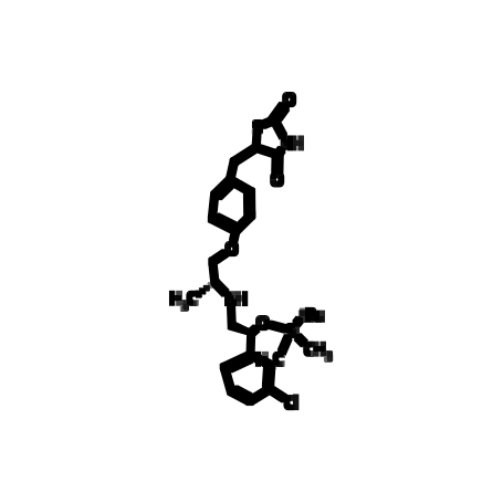 C[C@H](COc1ccc(CC2SC(=O)NC2=O)cc1)NC[C@@H](O[Si](C)(C)C(C)(C)C)c1cccc(Cl)c1